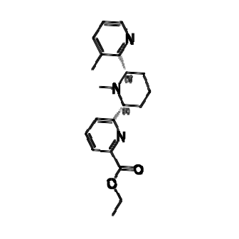 CCOC(=O)c1cccc([C@H]2CCC[C@@H](c3ncccc3C)N2C)n1